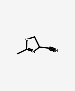 CC1=NC(C#N)CO1